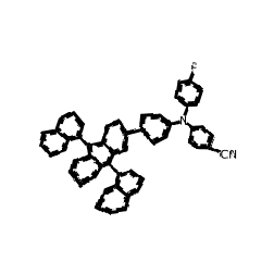 N#Cc1ccc(N(c2ccc(F)cc2)c2ccc(-c3ccc4c(-c5cccc6ccccc56)c5ccccc5c(-c5cccc6ccccc56)c4c3)cc2)cc1